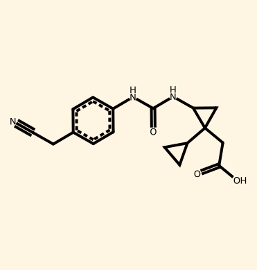 N#CCc1ccc(NC(=O)NC2CC2(CC(=O)O)C2CC2)cc1